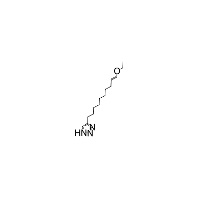 CCOC=CCCCCCCCCc1c[nH]nn1